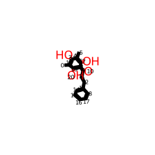 Cc1c(O)c(C)c(O)c(C(=O)CCc2ccccc2)c1O